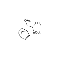 C1=CC2CCC1C2.CCCCCCCCC(C)COC(C)=O